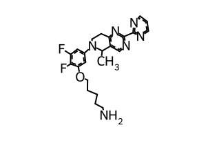 CC1c2cnc(-c3ncccn3)nc2CCN1c1cc(F)c(F)c(OCCCCCN)c1